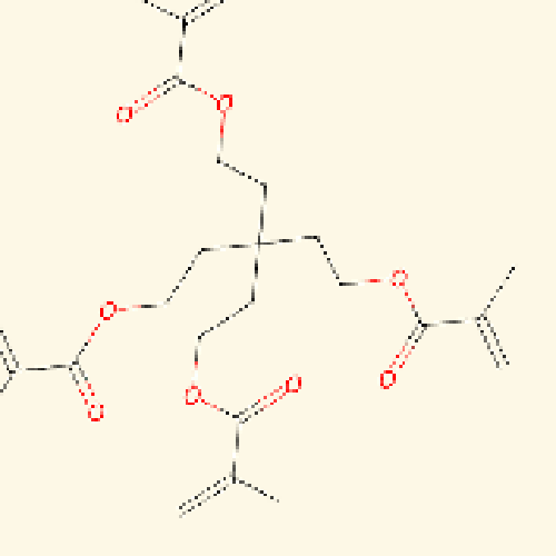 C=C(C)C(=O)OCCC(CCOC(=O)C(=C)C)(CCOC(=O)C(=C)C)CCOC(=O)C(=C)C